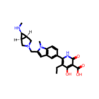 CCc1c(-c2ccc3c(c2)cc(CN2C[C@@H]4[C@H](C2)[C@@H]4NC)n3C)[nH]c(=O)c(C(=O)O)c1O